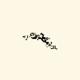 CC1OC(c2cc3c(ccn4cc(CN(C)C)nc34)[nH]2)O1